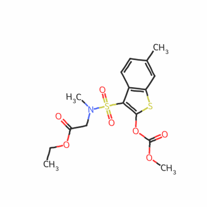 CCOC(=O)CN(C)S(=O)(=O)c1c(OC(=O)OC)sc2cc(C)ccc12